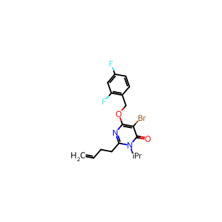 C=CCCc1nc(OCc2ccc(F)cc2F)c(Br)c(=O)n1C(C)C